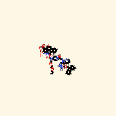 CCCOCCOCCN(C(=O)OC(Nc1ccc(C(=O)O)c(O)c1)C1c2ccccc2-c2ccccc21)C1CCN(C(=O)CCn2c(CN(C)N(C)C(=O)OCC3c4ccccc4-c4ccccc43)cc3cccnc32)CC1